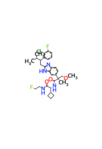 COCC(C)(C(=O)N[C@@H](C(=O)NCCF)C1CCC1)c1ccc2nc(CC(c3cccc(F)c3Cl)C(C)C)[nH]c2c1